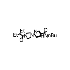 CCCCNC(=O)c1ccc(N2CCN(C(=O)C(CC)CC)CC2)nc1